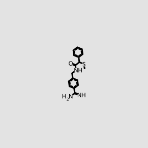 CSC(C(=O)NCc1ccc(C(=N)N)cc1)c1ccccc1